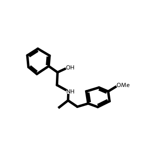 COc1ccc(CC(C)NCC(O)c2ccccc2)cc1